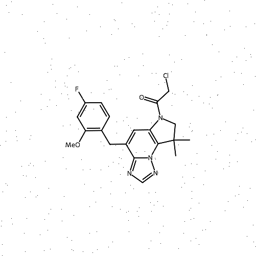 COc1cc(F)ccc1Cc1cc2c(n3ncnc13)C(C)(C)CN2C(=O)CCl